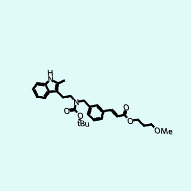 COCCCOC(=O)/C=C/c1cccc(CN(CCc2c(C)[nH]c3ccccc23)C(=O)OC(C)(C)C)c1